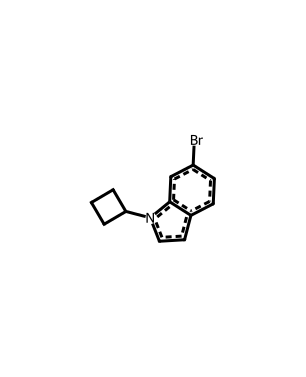 Brc1ccc2ccn(C3CCC3)c2c1